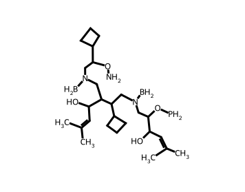 BN(CC(ON)C1CCC1)CC(C(O)C=C(C)C)C(CN(B)CC(OP)C(O)C=C(C)C)C1CCC1